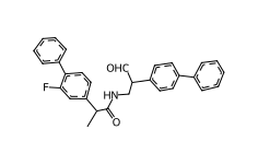 CC(C(=O)NCC(C=O)c1ccc(-c2ccccc2)cc1)c1ccc(-c2ccccc2)c(F)c1